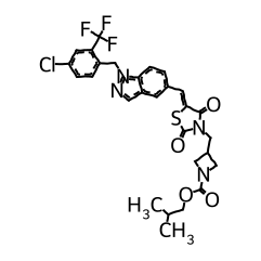 CC(C)COC(=O)N1CC(CN2C(=O)SC(=Cc3ccc4c(cnn4Cc4ccc(Cl)cc4C(F)(F)F)c3)C2=O)C1